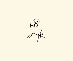 C=C[N+](C)(C)C.[Ca].[OH-]